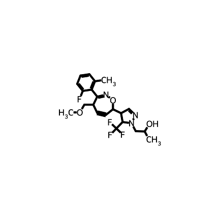 COCC1C#CC(C2C=NN(CC(C)O)C2C(F)(F)F)ON=C1c1c(C)cccc1F